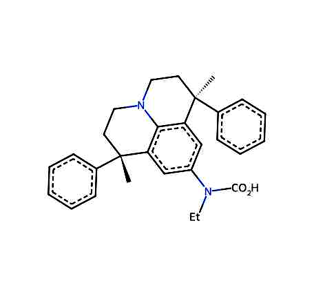 CCN(C(=O)O)c1cc2c3c(c1)[C@](C)(c1ccccc1)CCN3CC[C@@]2(C)c1ccccc1